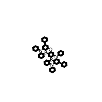 c1ccc(-c2cc3c4c(c2)N(c2ccccc2)c2ccccc2B4c2cc4c(cc2O3)N(c2ccccc2)c2cc(-c3ccccc3)cc3c2B4c2ccccc2N3c2ccccc2)cc1